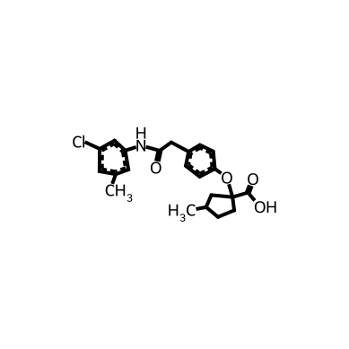 Cc1cc(Cl)cc(NC(=O)Cc2ccc(OC3(C(=O)O)CCC(C)C3)cc2)c1